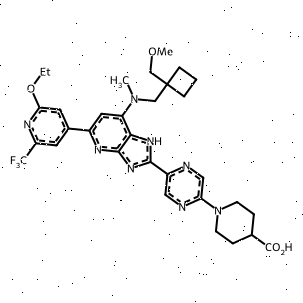 CCOc1cc(-c2cc(N(C)CC3(COC)CCC3)c3[nH]c(-c4cnc(N5CCC(C(=O)O)CC5)cn4)nc3n2)cc(C(F)(F)F)n1